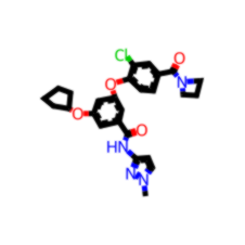 Cn1ccc(NC(=O)c2cc(Oc3ccc(C(=O)N4CCC4)cc3Cl)cc(OC3CCCC3)c2)n1